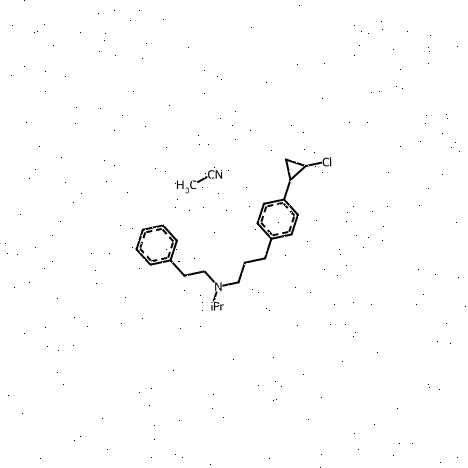 CC#N.CC(C)N(CCCc1ccc(C2CC2Cl)cc1)CCc1ccccc1